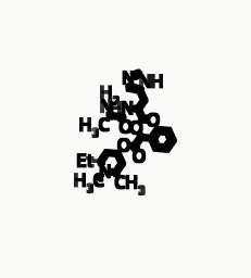 CC[C@@H]1CC(OC(=O)C(OC(=O)C(Cc2cnc[nH]2)NC(=O)C(C)N)c2ccccc2)CC(C)N1C